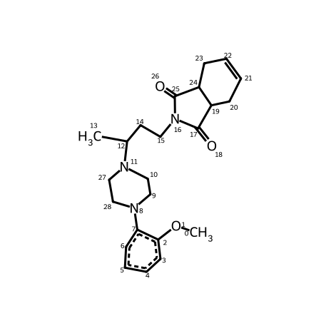 COc1ccccc1N1CCN(C(C)CCN2C(=O)C3CC=CCC3C2=O)CC1